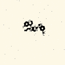 [C-]#[N+]c1ccc2ncn(-c3ncc4nc(CCC)n(C5CCOc6ccc(F)cc65)c4n3)c2c1